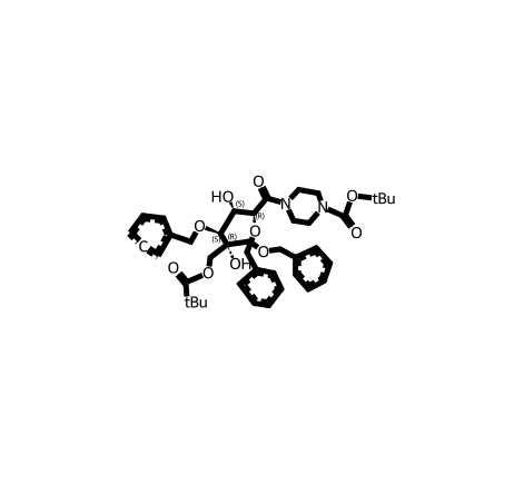 CC(C)(C)OC(=O)N1CCN(C(=O)[C@H](OCc2ccccc2)[C@@H](O)[C@H](OCc2ccccc2)[C@@](O)(COCc2ccccc2)COC(=O)C(C)(C)C)CC1